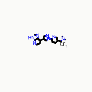 CN(C)C(c1ccc(-n2cc(-c3ccnc4[nH]cnc34)cn2)nc1)C(F)(F)F